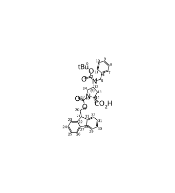 CC(C)(C)OC(=O)N(Cc1ccccc1)[C@@H]1C[C@@H](C(=O)O)N(C(=O)OCC2c3ccccc3-c3ccccc32)C1